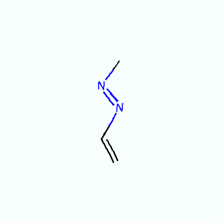 C=CN=NC